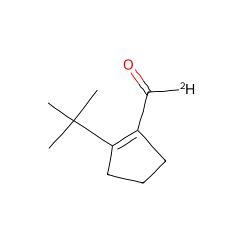 [2H]C(=O)C1=C(C(C)(C)C)CCC1